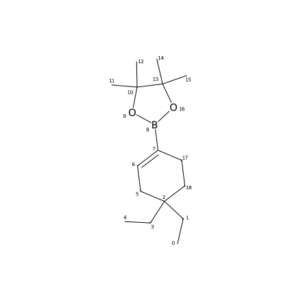 CCC1(CC)CC=C(B2OC(C)(C)C(C)(C)O2)CC1